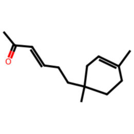 CC(=O)C=CCCC1(C)CC=C(C)CC1